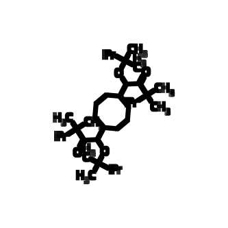 CC(C)C(C)(C)OC(C(=O)C(C)(C)C(C)C)C1CCCC(C(OC(C)(C)C(C)C)C(=O)C(C)(C)C(C)C)CCC1